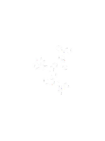 c1ccc(N(c2ccccc2)c2cc3c4c(c2)Oc2cc5c6cc7c(cc6c6cc8c(cc6c5cc2B4c2ccccc2O3)Oc2cc(N(c3ccccc3)c3ccccc3)cc3c2B8c2ccccc2O3)Oc2cccc3c2B7c2ccccc2O3)cc1